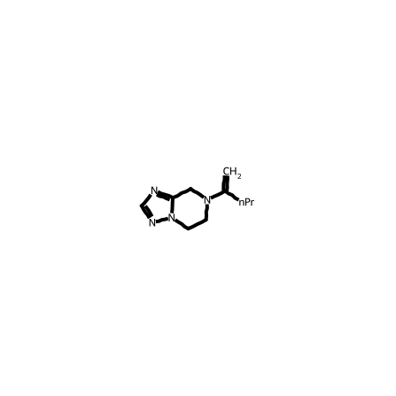 C=C(CCC)N1CCn2ncnc2C1